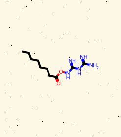 CCCCCCCC(=O)ONC(=N)NC(=N)N